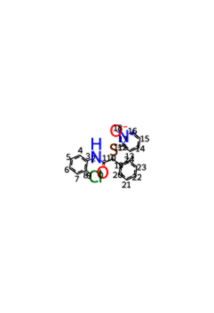 O=C(Nc1ccccc1Cl)C(Sc1cccc[n+]1[O-])c1ccccc1